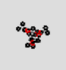 c1ccc(-c2cccc(-c3ccccc3)c2N2c3cc(-c4ccc(N(c5ccccc5)c5ccccc5)cc4)ccc3B3c4ccc(-n5c6ccccc6c6ccccc65)cc4N(c4c(-c5ccccc5)cccc4-c4ccccc4)c4cc(-c5ccc(-n6c7ccccc7c7ccccc76)cc5)cc2c43)cc1